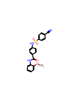 COc1ccccc1NC(=O)c1ccc(NS(=O)(=O)c2ccc(C#N)cc2)cc1